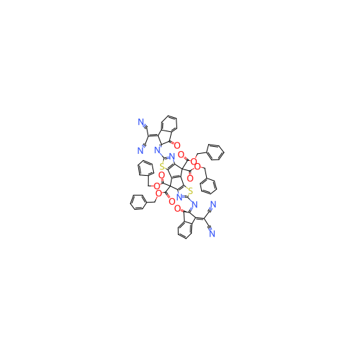 N#CC(C#N)=C1/C(=N/c2nc3c(s2)C2=C(c4sc(/N=C5\C(=O)c6ccccc6C5=C(C#N)C#N)nc4C2(C(=O)OCc2ccccc2)C(=O)OCc2ccccc2)C3(C(=O)OCc2ccccc2)C(=O)OCc2ccccc2)C(=O)c2ccccc21